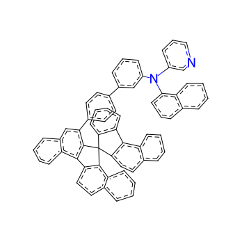 c1cncc(N(c2cccc(-c3ccc(-c4cc5ccccc5c5c4C4(c6ccccc6-c6c4ccc4ccccc64)c4c-5ccc5ccccc45)cc3)c2)c2cccc3ccccc23)c1